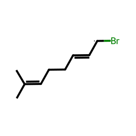 CC(C)=CCC/C=C/[CH]Br